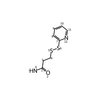 [NH]C(=O)CCSSc1ccccn1